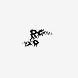 COc1ncc(-c2cccc3cc([C@H](C)Nc4nc(Cl)ncc4C#N)n(-c4ccccc4)c(=O)c23)cn1